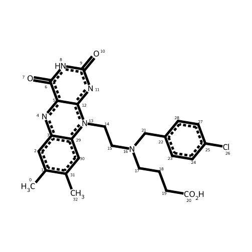 Cc1cc2nc3c(=O)[nH]c(=O)nc-3n(CCN(CCCC(=O)O)Cc3ccc(Cl)cc3)c2cc1C